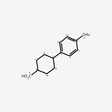 CC(=O)Oc1ccc(C2CCC(C(=O)O)CC2)cc1